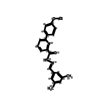 CCOc1ccc(-c2cncc(C(=O)N/N=C/c3cc(C)cc(C)c3)n2)cc1